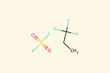 CCC(F)(F)F.O=S(=O)(F)F